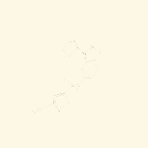 N#Cc1ncc(C(=O)Nc2ccc3[nH]nc(-c4ccoc4)c3c2)s1